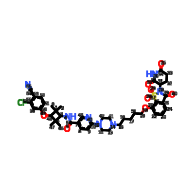 CC1(C)C(NC(=O)c2ccc(N3CCN(CCCCCOc4cccc5c4S(=O)(=O)N(C4CCC(=O)NC4=O)C5=O)CC3)nc2)C(C)(C)C1Oc1ccc(C#N)c(Cl)c1